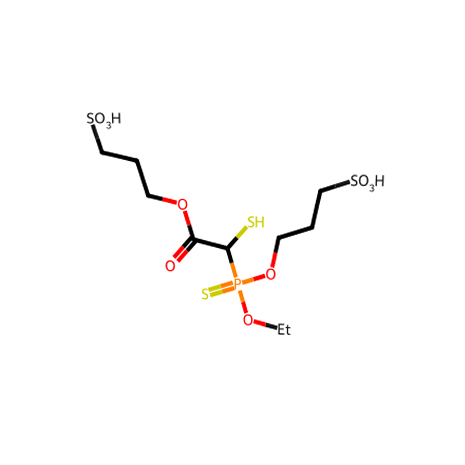 CCOP(=S)(OCCCS(=O)(=O)O)C(S)C(=O)OCCCS(=O)(=O)O